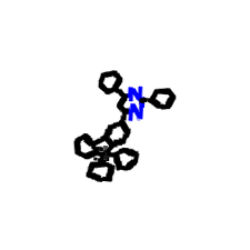 c1ccc(-c2cc(-c3ccc4c(c3)-c3ccccc3[Si]4(c3ccccc3)c3ccccc3)nc(-c3ccccc3)n2)cc1